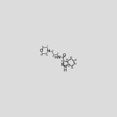 O=C(NCCCN1CCOCC1)c1n[nH]c2ccccc12